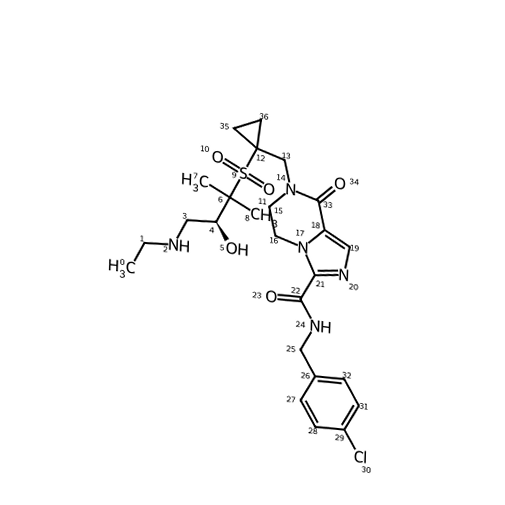 CCNC[C@H](O)C(C)(C)S(=O)(=O)C1(CN2CCn3c(cnc3C(=O)NCc3ccc(Cl)cc3)C2=O)CC1